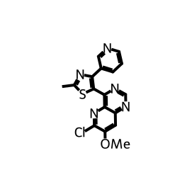 COc1cc2ncnc(-c3sc(C)nc3-c3cccnc3)c2nc1Cl